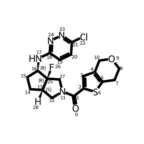 O=C(c1cc2c(s1)CCOC2)N1C[C@@H]2CC[C@@H](Nc3ccc(Cl)nn3)[C@]2(F)C1